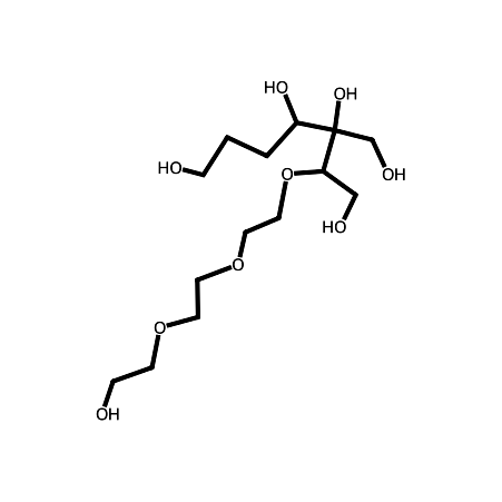 OCCCC(O)C(O)(CO)C(CO)OCCOCCOCCO